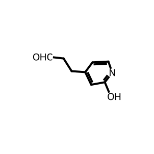 O=CCCc1ccnc(O)c1